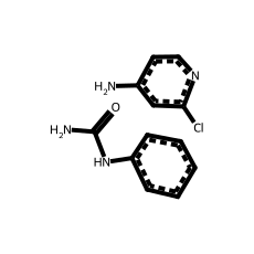 NC(=O)Nc1ccccc1.Nc1ccnc(Cl)c1